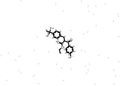 CCOC(=O)C(Cc1ccc(C(C)(F)F)cc1)C(=O)c1ccc(F)cc1